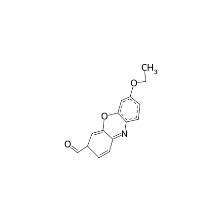 CCOc1ccc2c(c1)OC1=CC(C=O)C=CC1=N2